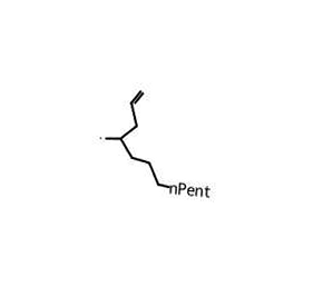 [CH2]C(CC=C)CCCCCCCC